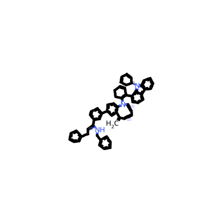 C=C1/C=C\C=C/N(C2=C(c3cccc4c5ccccc5n([C@@H]5C=CC=CC5)c34)C=CCC2)c2ccc(-c3cccc(/C(=C/Cc4ccccc4)NCc4ccccc4)c3)cc21